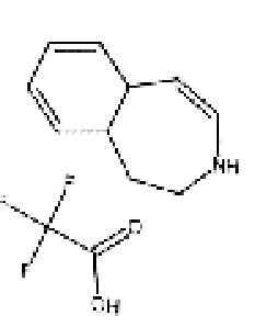 C1=CC2C=CNCCC2C=C1.O=C(O)C(F)(F)F